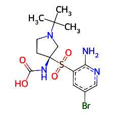 CC(C)(C)N1CC[C@@](NC(=O)O)(S(=O)(=O)c2cc(Br)cnc2N)C1